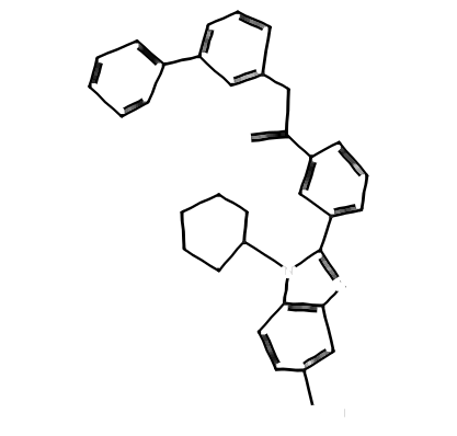 O=C(O)c1ccc2c(c1)nc(-c1cccc(C(=O)Cc3cccc(-c4ccccc4)c3)c1)n2C1CCCCC1